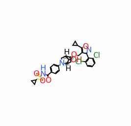 O=C(NS(=O)(=O)C1CC1)c1ccc(N2C[C@H]3C(O)[C@@H]2C[C@H]3OCc2c(-c3c(Cl)cccc3Cl)noc2C2CC2)cc1